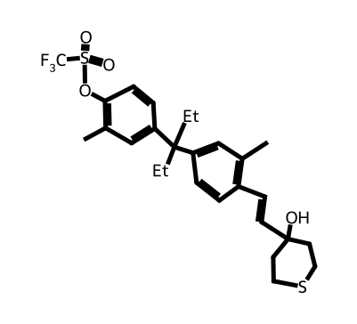 CCC(CC)(c1ccc(C=CC2(O)CCSCC2)c(C)c1)c1ccc(OS(=O)(=O)C(F)(F)F)c(C)c1